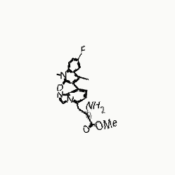 COC(=O)[C@@H](N)Cc1ccc(-c2c(C)c3cc(F)ccc3n(C)c2=O)c2nccn12